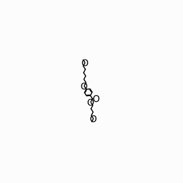 COCCCCCCOc1ccc(C(=O)OCCCCOC)cc1